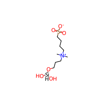 C[N+](C)(CCCCS(=O)(=O)[O-])CCCO[SiH](O)O